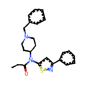 CCC(=O)N(c1cc(-c2ccccc2)ns1)C1CCN(Cc2ccccc2)CC1